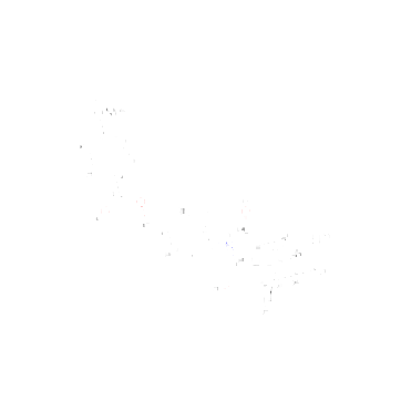 COc1ccc(C(=O)OCc2ccc(N3C(=O)C4C(C3=O)[C@@H]3C=CC4[C@H]4CC34)cc2)cc1